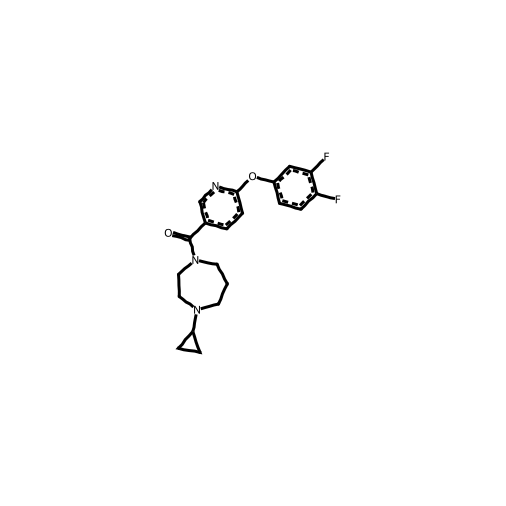 O=C(c1ccc(Oc2ccc(F)c(F)c2)nc1)N1CCCN(C2CC2)CC1